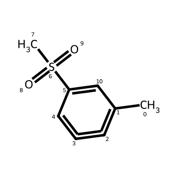 CC1=C=C=CC(S(C)(=O)=O)=C1